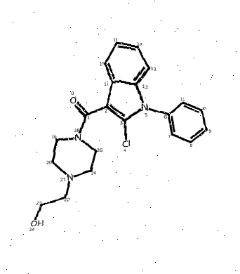 O=C(c1c(Cl)n(-c2ccccc2)c2ccccc12)N1CCN(CCO)CC1